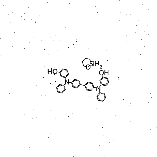 C1CC[SiH2]OC1.Oc1cccc(N(c2ccccc2)c2ccc(-c3ccc(N(c4ccccc4)c4cccc(O)c4)cc3)cc2)c1